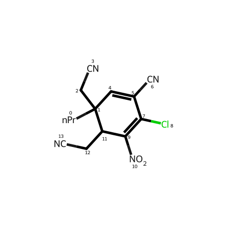 CCCC1(CC#N)C=C(C#N)C(Cl)=C([N+](=O)[O-])C1CC#N